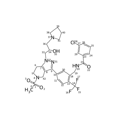 CS(=O)(=O)N1CCc2c(c(-c3ccc(C(F)(F)F)c(CNC(=O)c4cccc(Cl)c4)c3)nn2CC(O)CN2CCCC2)C1